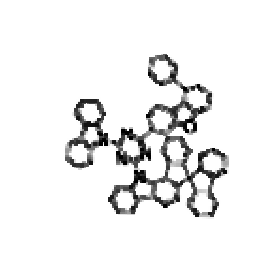 c1ccc(-c2cccc3oc4cc(-c5nc(-n6c7ccccc7c7ccccc76)nc(-n6c7ccccc7c7ccc8c(c76)-c6ccccc6C86c7ccccc7-c7ccccc76)n5)ccc4c23)cc1